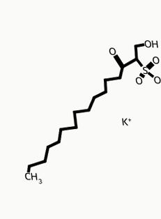 CCCCCCCCCCCCCC(=O)C(CO)S(=O)(=O)[O-].[K+]